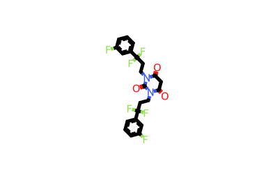 O=C1CC(=O)N(CCC(F)(F)c2cccc(F)c2)C(=O)N1CCC(F)(F)c1cccc(F)c1